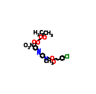 C=C(C)C(=O)OCCOC(=O)c1cc(/N=N/c2ccc(N(C)CCOC(=O)/C=C/c3ccc(Cl)cc3)cc2)ccc1[N+](=O)[O-]